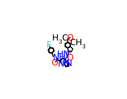 CC(=O)c1ccc2c(c1C)CC[C@@H]2NC(=O)c1cc(C(=O)NCc2ccc(F)cc2)nc2ccnn12